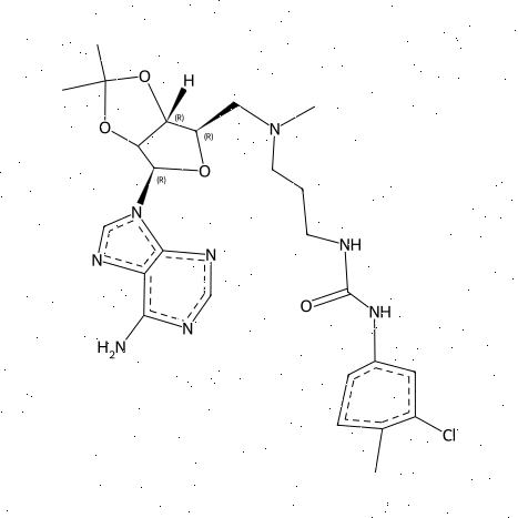 Cc1ccc(NC(=O)NCCCN(C)C[C@H]2O[C@@H](n3cnc4c(N)ncnc43)C3OC(C)(C)O[C@@H]32)cc1Cl